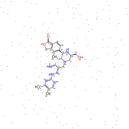 Cc1nc(N/N=C(\C=N)CN2C[C@H](CO)N[C@H](c3ccc4c(c3C)COC4=O)C2)ncc1C#N